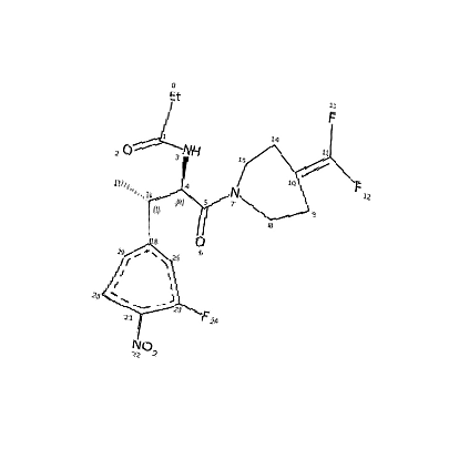 CCC(=O)N[C@@H](C(=O)N1CCC(=C(F)F)CC1)[C@@H](C)c1ccc([N+](=O)[O-])c(F)c1